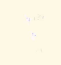 [2H]c1cccc(N(C)CCCC)n1